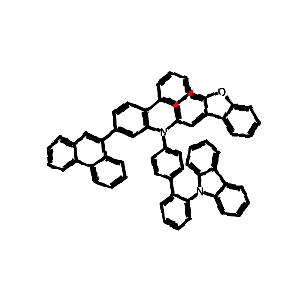 c1ccc(-c2ccc(-c3cc4ccccc4c4ccccc34)cc2N(c2ccc(-c3ccccc3-n3c4ccccc4c4ccccc43)cc2)c2ccc3oc4ccccc4c3c2)cc1